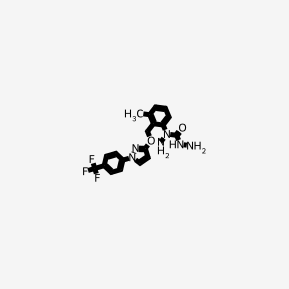 Cc1cccc(N(N)C(=O)NN)c1COc1ccn(-c2ccc(C(F)(F)F)cc2)n1